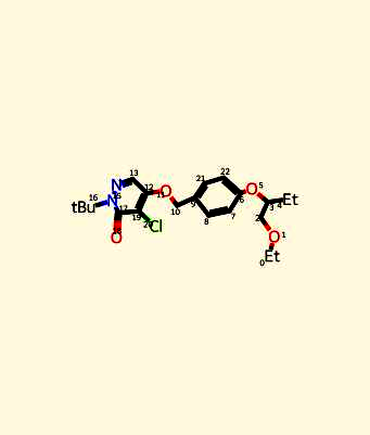 CCOCC(CC)Oc1ccc(COc2cnn(C(C)(C)C)c(=O)c2Cl)cc1